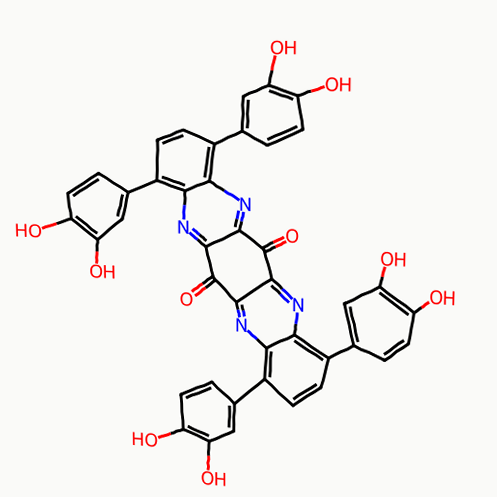 O=C1c2nc3c(-c4ccc(O)c(O)c4)ccc(-c4ccc(O)c(O)c4)c3nc2C(=O)c2nc3c(-c4ccc(O)c(O)c4)ccc(-c4ccc(O)c(O)c4)c3nc21